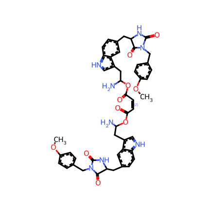 COc1ccc(CN2C(=O)NC(Cc3ccc4[nH]cc(CC(N)OC(=O)/C=C\C(=O)OC(N)Cc5c[nH]c6ccc(CC7NC(=O)N(Cc8ccc(OC)cc8)C7=O)cc56)c4c3)C2=O)cc1